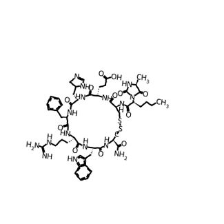 CCCC[C@@H](C(=O)N[C@H]1CSSC[C@@H](C(N)=O)NC(=O)[C@H](Cc2c[nH]c3ccccc23)NC(=O)[C@H](CCCNC(=N)N)NC(=O)[C@@H](Cc2ccccc2)NC(=O)[C@H](CC2CN=CN2)NC(=O)[C@H](CCC(=O)O)NC1=O)N1C(=O)N[C@@H](C)C1=O